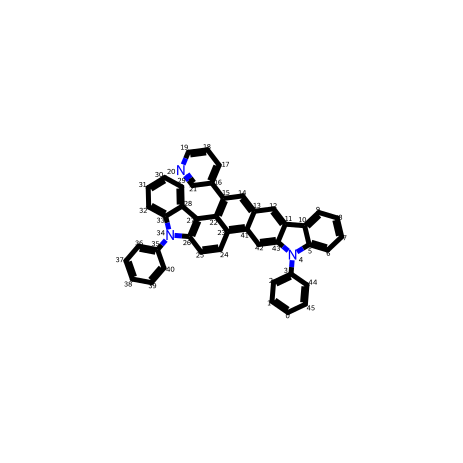 c1ccc(-n2c3ccccc3c3cc4cc(-c5cccnc5)c5c(ccc6c5c5ccccc5n6-c5ccccc5)c4cc32)cc1